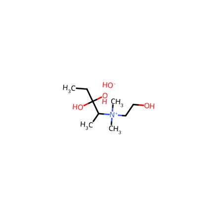 CCC(O)(O)C(C)[N+](C)(C)CCO.[OH-]